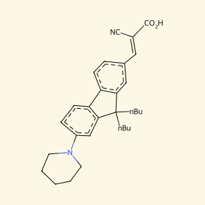 CCCCC1(CCCC)c2cc(/C=C(\C#N)C(=O)O)ccc2-c2ccc(N3CCCCC3)cc21